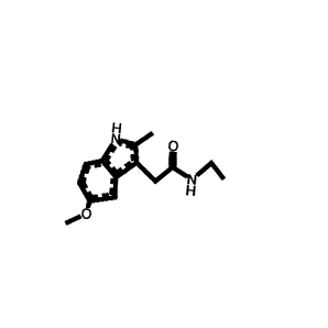 CCNC(=O)Cc1c(C)[nH]c2ccc(OC)cc12